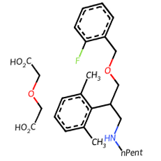 CCCCCNCC(COCc1ccccc1F)c1c(C)cccc1C.O=C(O)COCC(=O)O